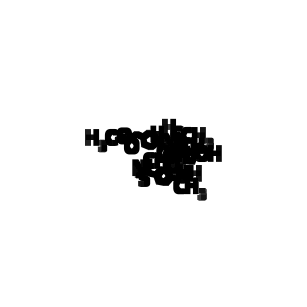 CCOC(=O)CC1CCC(C(=O)NC(C(=O)N2C[C@H](O)C[C@H]2C(=O)NC(C)c2ccc(-c3scnc3C)cc2)C(C)(C)C)CC1